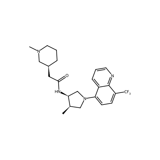 C[C@@H]1CN(c2ccc(C(F)(F)F)c3ncccc23)C[C@@H]1NC(=O)C[C@@H]1CCCN(C)C1